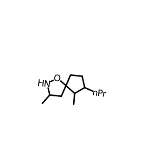 CCCC1CCC2(CC(C)NO2)C1C